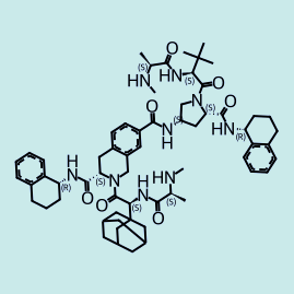 CN[C@@H](C)C(=O)N[C@H](C(=O)N1C[C@@H](NC(=O)c2ccc3c(c2)CN(C(=O)[C@@H](NC(=O)[C@H](C)NC)C24CC5CC(CC(C5)C2)C4)[C@H](C(=O)N[C@@H]2CCCc4ccccc42)C3)C[C@H]1C(=O)N[C@@H]1CCCc2ccccc21)C(C)(C)C